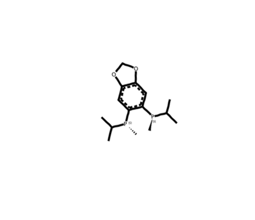 CC(C)[P@@](C)c1cc2c(cc1[P@](C)C(C)C)OCO2